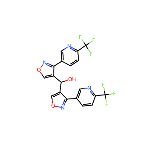 OC(c1conc1-c1ccc(C(F)(F)F)nc1)c1conc1-c1ccc(C(F)(F)F)nc1